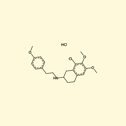 COc1ccc(CCNC2CCc3cc(OC)c(OC)c(Cl)c3C2)cc1.Cl